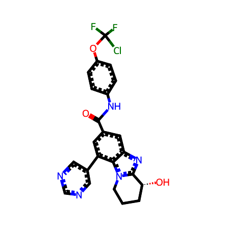 O=C(Nc1ccc(OC(F)(F)Cl)cc1)c1cc(-c2cncnc2)c2c(c1)nc1n2CCC[C@H]1O